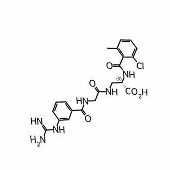 Cc1cccc(Cl)c1C(=O)N[C@@H](CNC(=O)CNC(=O)c1cccc(NC(=N)N)c1)C(=O)O